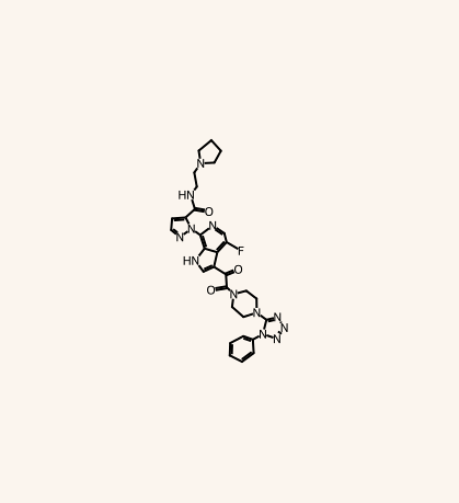 O=C(C(=O)N1CCN(c2nnnn2-c2ccccc2)CC1)c1c[nH]c2c(-n3nccc3C(=O)NCCN3CCCC3)ncc(F)c12